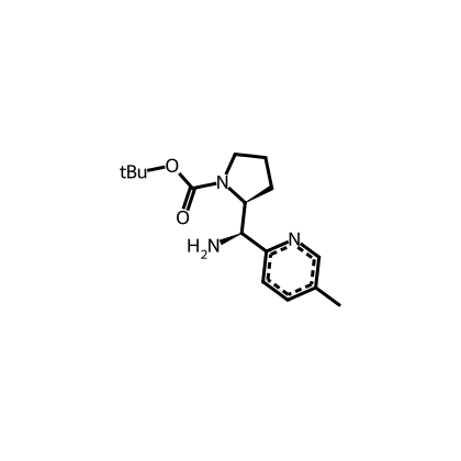 Cc1ccc([C@@H](N)[C@@H]2CCCN2C(=O)OC(C)(C)C)nc1